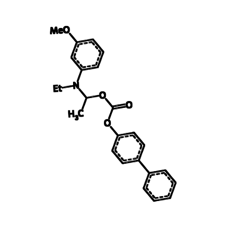 CCN(c1cccc(OC)c1)C(C)OC(=O)Oc1ccc(-c2ccccc2)cc1